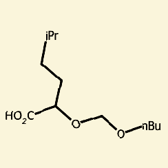 CCCCOCOC(CCC(C)C)C(=O)O